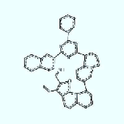 C=Cc1c(C=N)oc2c1ccc1cccc(-c3ccc4c(-c5nc(-c6ccccc6)nc(-c6ccc7ccccc7c6)n5)cccc4c3)c12